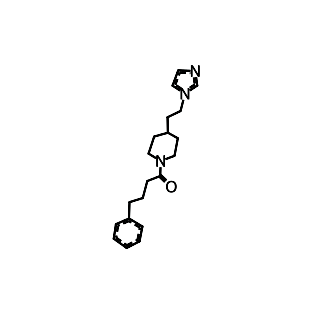 O=C(CCCc1ccccc1)N1CCC(CCn2ccnc2)CC1